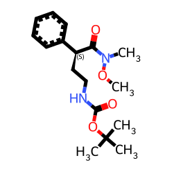 CON(C)C(=O)[C@@H](CCNC(=O)OC(C)(C)C)c1ccccc1